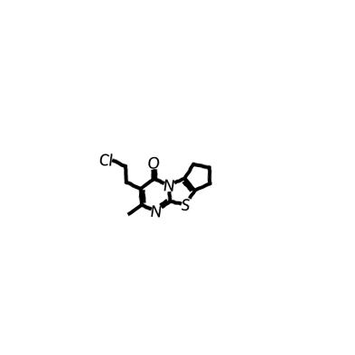 Cc1nc2sc3c(n2c(=O)c1CCCl)CCC3